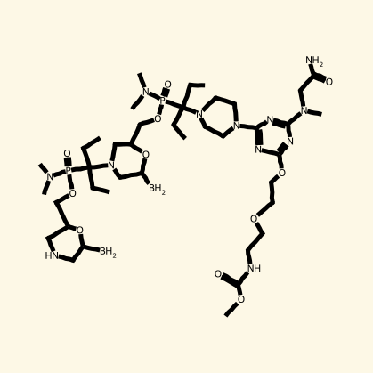 BC1CNCC(COP(=O)(N(C)C)C(CC)(CC)N2CC(B)OC(COP(=O)(N(C)C)C(CC)(CC)N3CCN(c4nc(OCCOCCNC(=O)OC)nc(N(C)CC(N)=O)n4)CC3)C2)O1